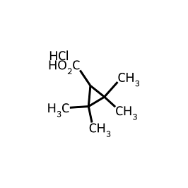 CC1(C)C(C(=O)O)C1(C)C.Cl